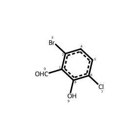 O=Cc1c(Br)ccc(Cl)c1O